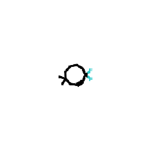 CC1(C)CC#CC(F)(F)CCCC1